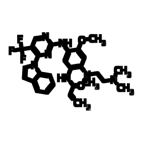 C=CC(=O)Nc1cc(Nc2ncc(C(F)(F)F)c(-n3ccc4ccccc43)n2)c(OC)cc1N(C)CCN(C)C